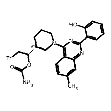 Cc1ccc2c(N3CCC[C@@H](C(CC(C)C)OC(N)=O)C3)nc(-c3ccccc3O)nc2c1